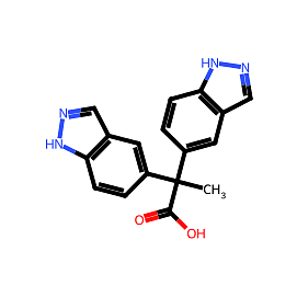 CC(C(=O)O)(c1ccc2[nH]ncc2c1)c1ccc2[nH]ncc2c1